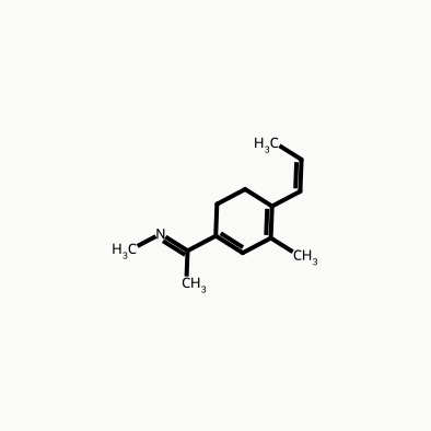 C/C=C\C1=C(C)C=C(/C(C)=N/C)CC1